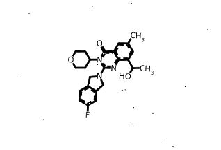 Cc1cc(C(C)O)c2nc(N3Cc4ccc(F)cc4C3)n(C3CCOCC3)c(=O)c2c1